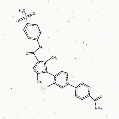 CNC(=O)c1ccc(-c2ccc(-n3c(C)cc(C(=O)Nc4ccc(S(C)(=O)=O)cc4)c3C)c(C(F)(F)F)c2)cc1